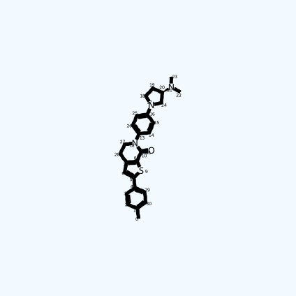 Cc1ccc(-c2cc3c(s2)C(=O)N(c2ccc(N4CC[C@@H](N(C)C)C4)cc2)CC3)cc1